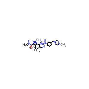 CNC(=O)c1nn(C)c2c1C(C)(C)Cc1cnc(Nc3cccc(CN4CCN(C)CC4)c3)nc1-2